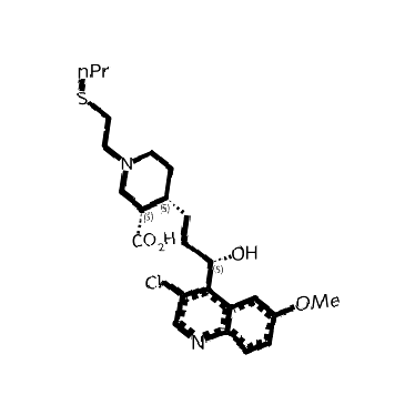 CCCSCCN1CC[C@H](CC[C@H](O)c2c(Cl)cnc3ccc(OC)cc23)[C@H](C(=O)O)C1